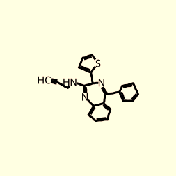 C#CCNC1=Nc2ccccc2C(c2ccccc2)=NC1c1cccs1